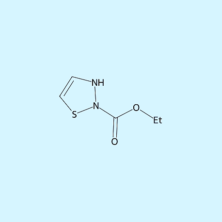 CCOC(=O)N1NC=CS1